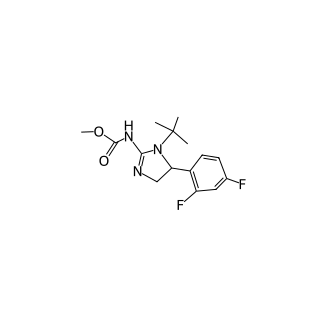 COC(=O)NC1=NCC(c2ccc(F)cc2F)N1C(C)(C)C